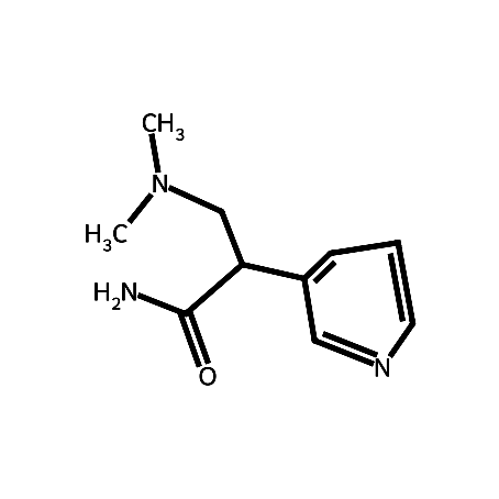 CN(C)CC(C(N)=O)c1cccnc1